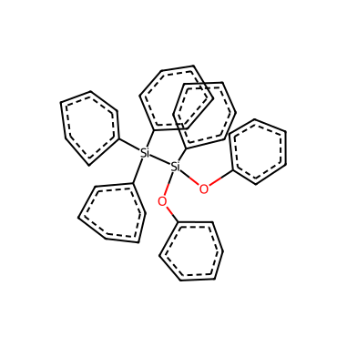 c1ccc(O[Si](Oc2ccccc2)(c2ccccc2)[Si](c2ccccc2)(c2ccccc2)c2ccccc2)cc1